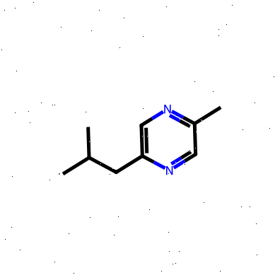 [CH2]C(C)Cc1cnc(C)cn1